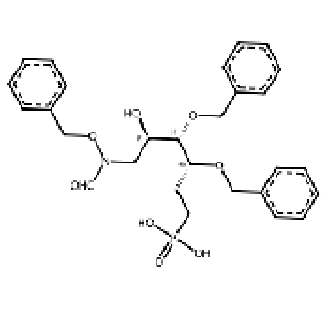 O=CN(C[C@@H](O)[C@H](OCc1ccccc1)[C@@H](CCP(=O)(O)O)OCc1ccccc1)OCc1ccccc1